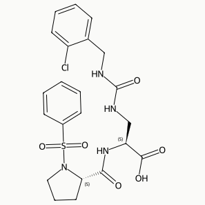 O=C(NCc1ccccc1Cl)NC[C@H](NC(=O)[C@@H]1CCCN1S(=O)(=O)c1ccccc1)C(=O)O